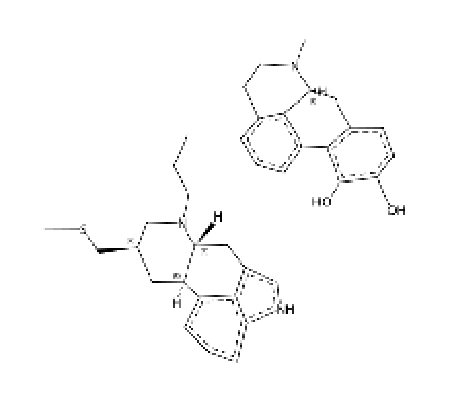 CCCN1C[C@H](CSC)C[C@@H]2c3cccc4[nH]cc(c34)C[C@H]21.CN1CCc2cccc3c2[C@H]1Cc1ccc(O)c(O)c1-3